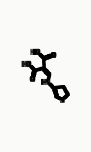 O=C(O)C(=CNC1=CSCC1)C(=O)O